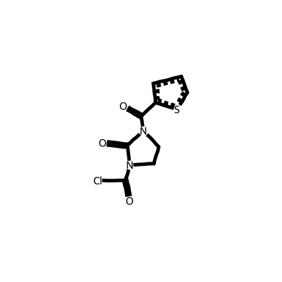 O=C(Cl)N1CCN(C(=O)c2cccs2)C1=O